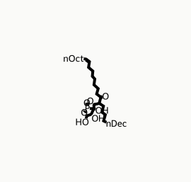 CCCCCCCC/C=C\CCCCCCCC(=O)C(CCCCCCCCCCCCCC)C(=O)C(O)(C(O)CO)P(=O)=O